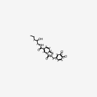 CCCC(O)CNC(=O)c1ccc2nn(Cc3ccc(Cl)c(Cl)c3)c(=O)n2c1